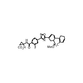 COCC1CC(c2nc(-c3ccc(C(=O)NC4(C(=O)O)CC4)c(F)c3)no2)=CC=C1C1=C(C)C=CCC1